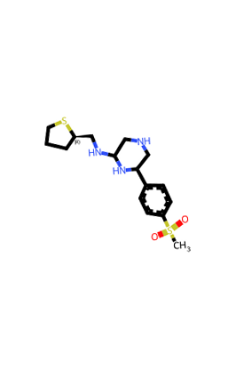 CS(=O)(=O)c1ccc(C2CNCC(NC[C@H]3CCCS3)N2)cc1